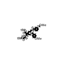 COCOc1cccc(C(=O)NCC2Cc3c(sc(NC(=O)C(=O)OC(C)(C)C)c3C(=O)OC(C)(C)C)CN2Cc2ccc(OC)cc2)c1